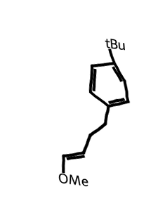 COC=CCCc1ccc(C(C)(C)C)cc1